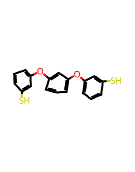 Sc1cccc(Oc2cccc(Oc3cccc(S)c3)c2)c1